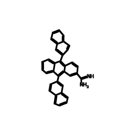 N=C(N)c1ccc2c(-c3ccc4ccccc4c3)c3ccccc3c(-c3ccc4ccccc4c3)c2c1